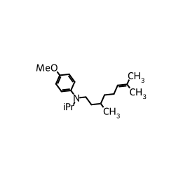 COc1ccc(N(CCC(C)CCC=C(C)C)C(C)C)cc1